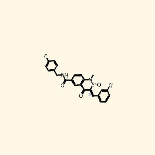 CN1c2ccc(C(=O)NCc3ccc(F)cc3)cc2C(=O)/C(=C/c2cccc(Cl)c2)[S+]1[O-]